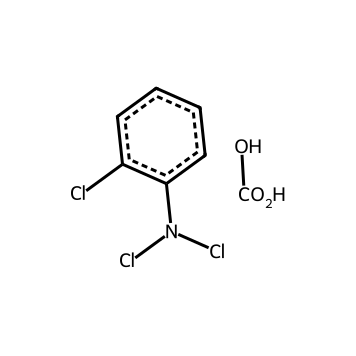 Clc1ccccc1N(Cl)Cl.O=C(O)O